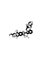 Cn1c(-c2cc3cccc(OCC4COCCN4)c3n2CC2CC2)nc2cc3c(cc21)CCN(CC(N)CF)C3=O